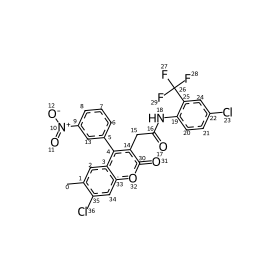 Cc1cc2c(-c3cccc([N+](=O)[O-])c3)c(CC(=O)Nc3ccc(Cl)cc3C(F)(F)F)c(=O)oc2cc1Cl